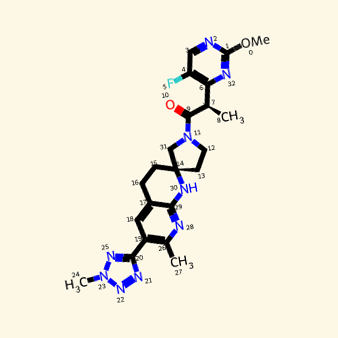 COc1ncc(F)c([C@@H](C)C(=O)N2CC[C@@]3(CCc4cc(-c5nnn(C)n5)c(C)nc4N3)C2)n1